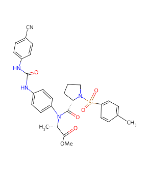 COC(=O)[C@H](C)N(C(=O)[C@@H]1CCCN1S(=O)(=O)c1ccc(C)cc1)c1ccc(NC(=O)Nc2ccc(C#N)cc2)cc1